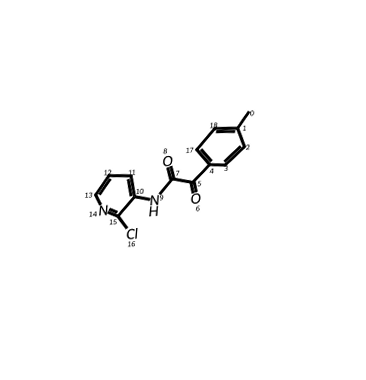 Cc1ccc(C(=O)C(=O)Nc2cccnc2Cl)cc1